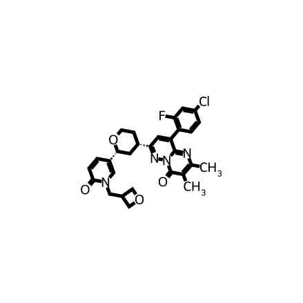 Cc1nc2c(-c3ccc(Cl)cc3F)cc([C@H]3CCO[C@@H](c4ccc(=O)n(CC5COC5)c4)C3)nn2c(=O)c1C